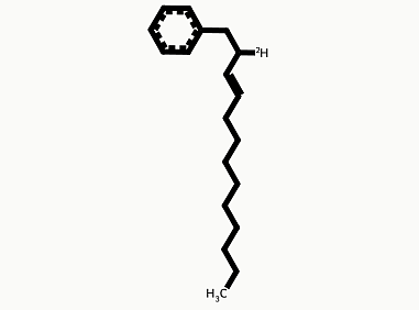 [2H]C(C=CCCCCCCCCC)Cc1ccccc1